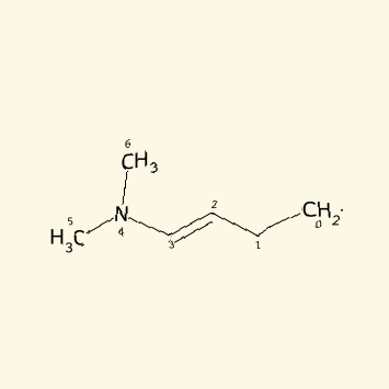 [CH2]CC=CN(C)C